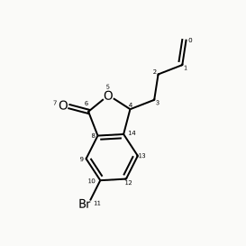 C=CCCC1OC(=O)c2cc(Br)ccc21